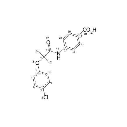 CC(C)(Oc1ccc(Cl)cc1)C(=O)Nc1ccc(C(=O)O)cc1